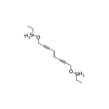 CC[SiH2]OCC#CC=CC#CCO[SiH2]CC